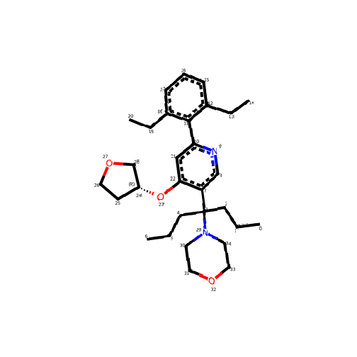 CCCC(CCC)(c1cnc(-c2c(CC)cccc2CC)cc1O[C@@H]1CCOC1)N1CCOCC1